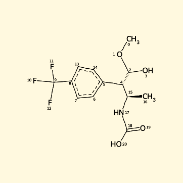 COC(O)[C@@H](c1ccc(C(F)(F)F)cc1)[C@@H](C)NC(=O)O